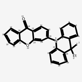 CCC1(I)c2ccccc2N(c2ccc3c(=O)c4ccccc4oc3c2)c2ccccc21